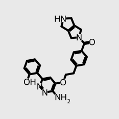 Nc1nnc(-c2ccccc2O)cc1OCCc1ccc(C(=O)N2CC3=C(CNC3)C2)cc1